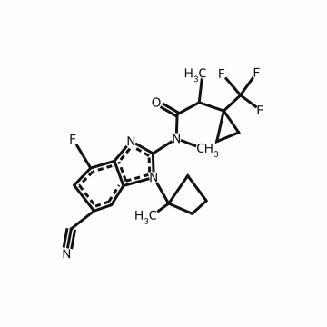 CC(C(=O)N(C)c1nc2c(F)cc(C#N)cc2n1C1(C)CCC1)C1(C(F)(F)F)CC1